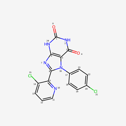 O=c1[nH]c(=O)c2c(nc(-c3ncccc3Cl)n2-c2ccc(Cl)cc2)[nH]1